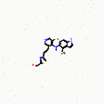 Cc1c(Nc2c(C#N)cncc2C=Cc2csc(CO)n2)ccc2[nH]ccc12